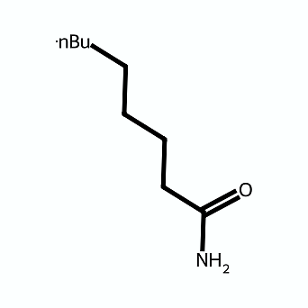 CCC[CH]CCCCC(N)=O